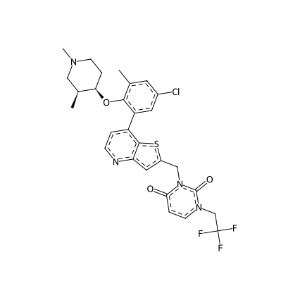 Cc1cc(Cl)cc(-c2ccnc3cc(Cn4c(=O)ccn(CC(F)(F)F)c4=O)sc23)c1O[C@@H]1CCN(C)C[C@@H]1C